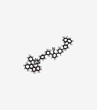 N#Cc1c(-c2ccc(-c3ccc4c(c3)-c3cccc5cccc-4c35)cc2)cccc1-c1cccc(-c2ccc(-c3nc(-c4ccccc4)nc(-c4ccccc4-c4cc5ccccc5c5ccccc45)n3)cc2)c1